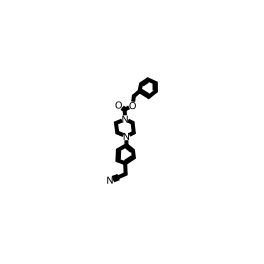 N#CCc1ccc(N2CCN(C(=O)OCc3ccccc3)CC2)cc1